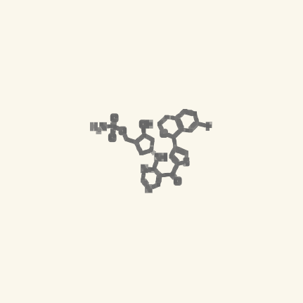 NS(=O)(=O)OCC1C[C@@H](Nc2ncncc2C(=O)c2cc(C3OCCc4ccc(F)cc43)cs2)C[C@@H]1O